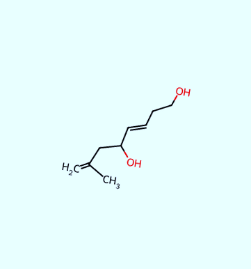 C=C(C)CC(O)C=CCCO